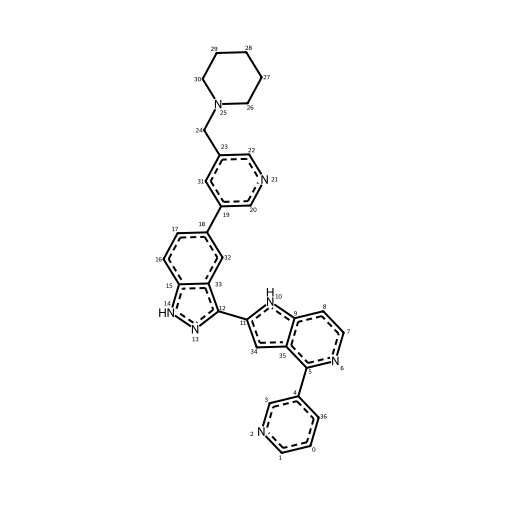 c1cncc(-c2nccc3[nH]c(-c4n[nH]c5ccc(-c6cncc(CN7CCCCC7)c6)cc45)cc23)c1